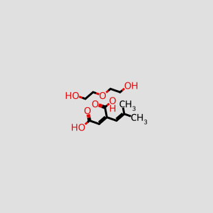 CC(C)=C/C(=C/C(=O)O)C(=O)O.OCCOCCO